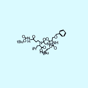 C=CCOC(=O)NC(COCc1ccccc1)C(=O)NCC(=O)N(CCC(=O)CNC(=O)OC(C)(C)C)C(CC(C)C)C(=O)OC(C)(C)C